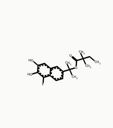 CCC(C)(C)C(=O)OC(C)(C)c1ccc2c(F)c(O)c(O)cc2c1